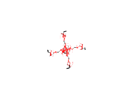 C=C[Si](C)(C)OCCC[Si]1(C)O[Si](C)(CCCO[Si](C)(C)C=C)O[Si](C)(CCCO[Si](C)(C)C=C)O[Si](C)(CCCO[Si](C)(C)C=C)O1